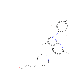 Cc1cc(N2CCC(CCCO)CC2)c2c(C)cn(-c3c(Br)cc(Cl)cc3Br)c2n1